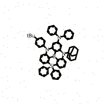 CC(C)(C)c1ccc(N2c3cc(N(c4ccccc4)c4ccccc4)cc4c3B3c5c2cccc5[Si](c2ccccc2)(c2ccccc2)c2cccc(c23)N4C23CC4CC(CC(C4)C2)C3)cc1